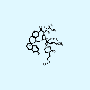 CC/C=C/[C@@](CN1CCN(CCOC)C(=O)C1)(OC)[C@@H]1CC[C@H]1CN1C[C@@]2(CCCc3cc(Cl)ccc32)COc2ccc(C(=O)NS(=O)(=O)C(C)C)cc21